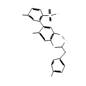 Nc1ccc(S(N)(=O)=O)c(-c2cc3c(cc2Cl)NC(Cc2ccc(F)cc2)NS3)c1